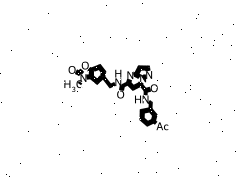 CC(=O)c1cccc(CNC(=O)c2cc(C(=O)NCc3ccc4oc(=O)n(C)c4c3)nc3ccnn23)c1